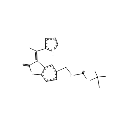 CC(=C1C(=O)Nc2ccc(CNC(=O)OC(C)(C)C)cc21)c1ccc[nH]1